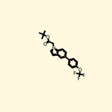 CC(C)(C)OC(=O)Cn1ccc2cc(-c3ccc(OC(F)(F)F)cc3)ccc21